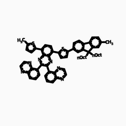 CCCCCCCCC1(CCCCCCCC)c2cc(C)ccc2-c2ccc(-c3ccc(-c4ccc(-c5ccc(C)s5)c5nc(-c6cccc7nccnc67)c(-c6cccc7nccnc67)nc45)s3)cc21